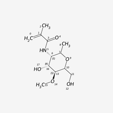 C=C(C)C(=O)N[C@@H]1C(C)OC(CO)[C@@H](OC)[C@@H]1O